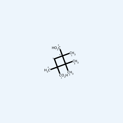 CC1(C(=O)O)CC(C)(C(=O)O)C1(C)C